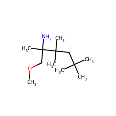 COCC(C)(N)C(C)(C)CC(C)(C)C